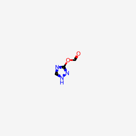 O=COc1nc[nH]n1